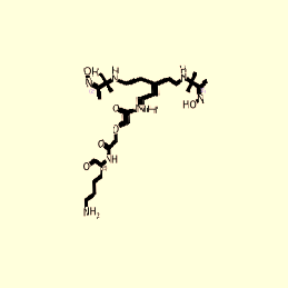 C/C(=N/O)C(C)(C)NCCC(CCNC(=O)COCC(=O)N[C@H](C=O)CCCCN)CCNC(C)(C)/C(C)=N\O